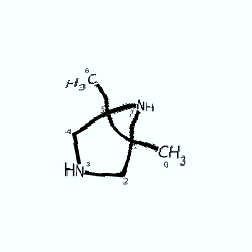 CC12CNCC1(C)N2